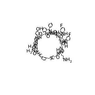 C[C@@]12CCCN1C(=O)[C@H](Cc1ccc(O)cc1)NC(=O)CN1C(=O)[C@@H](N=C(c3ccccc3)c3ccccc31)NC(=O)[C@@H](Cc1c[nH]c3ccc(F)cc13)NC(=O)[C@H](Cc1c[nH]c3ccc(F)cc13)NC(=O)CNC(=O)[C@H](CCCCN)NC(=O)CCSCc1cccc(c1)CSC[C@@H](C(N)=O)NC2=O